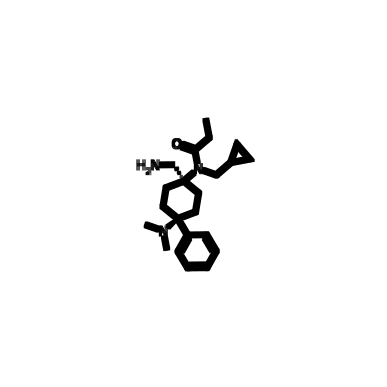 CCC(=O)N(CC1CC1)[C@]1(CN)CC[C@](c2ccccc2)(N(C)C)CC1